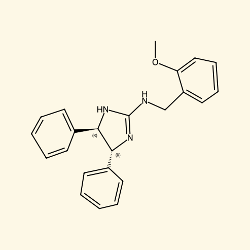 COc1ccccc1CNC1=N[C@H](c2ccccc2)[C@@H](c2ccccc2)N1